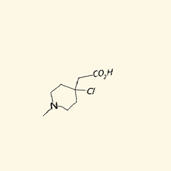 CN1CCC(Cl)(CC(=O)O)CC1